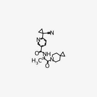 C[C@H](NC(=O)c1ccc(C2(C#N)CC2)nc1)C(=O)N1CCC2(CC1)CC2